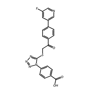 O=C(O)c1ccc(-n2nnnc2SCC(=O)c2ccc(-c3cncc(F)c3)cc2)cc1